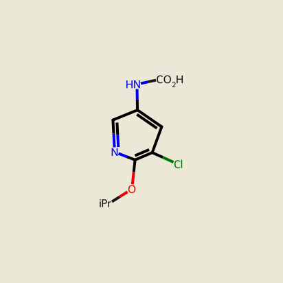 CC(C)Oc1ncc(NC(=O)O)cc1Cl